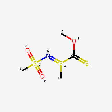 COC(=S)S(C)=NS(C)(=O)=O